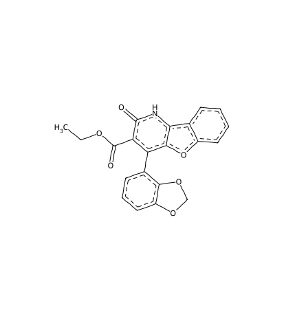 CCOC(=O)c1c(-c2cccc3c2OCO3)c2oc3ccccc3c2[nH]c1=O